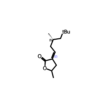 CC1C/C(=C/C[C@H](C)CC(C)(C)C)C(=O)O1